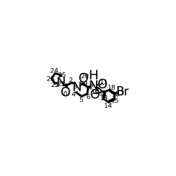 O=C(CN1CCCC(NS(=O)(=O)c2cccc(Br)c2)C1=O)N1CCCC1